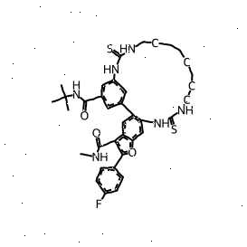 CNC(=O)c1c(-c2ccc(F)cc2)oc2cc3c(cc12)-c1cc(cc(C(=O)NC(C)(C)C)c1)NC(=S)NCCCCCCCCNC(=S)N3